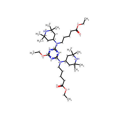 CCOC(=O)CCCCN(c1nc(OCC)nc(N(CCCCC(=O)OCC)C2CC(C)(C)NC(C)(C)C2)n1)C1CC(C)(C)NC(C)(C)C1